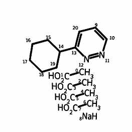 CC(=O)O.CC(=O)O.CC(=O)O.CC(=O)O.[NaH].c1cnnc(C2CCCCC2)c1